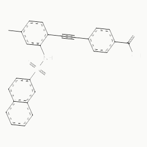 Cc1ccc(C#Cc2ccc(C(=O)O)cc2)c(NS(=O)(=O)c2ccc3ccccc3c2)c1